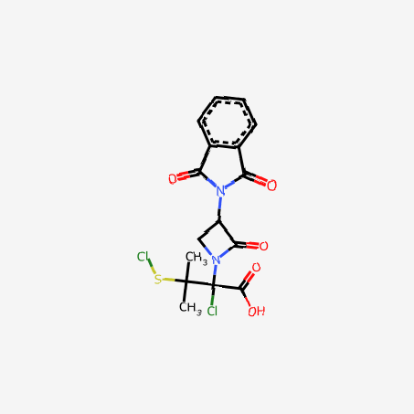 CC(C)(SCl)C(Cl)(C(=O)O)N1CC(N2C(=O)c3ccccc3C2=O)C1=O